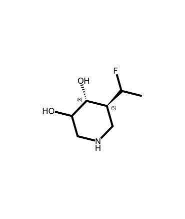 CC(F)[C@H]1CNCC(O)[C@@H]1O